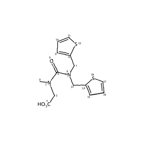 CN(CC(=O)O)C(=O)N(Cc1cccs1)Cc1cccs1